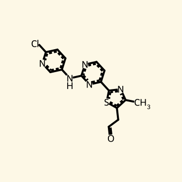 Cc1nc(-c2ccnc(Nc3ccc(Cl)nc3)n2)sc1CC=O